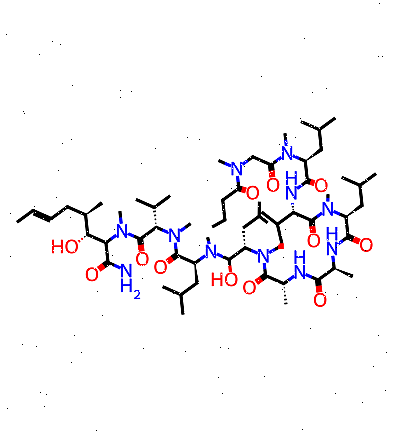 C/C=C/C[C@@H](C)[C@@H](O)C(C(N)=O)N(C)C(=O)[C@H](C(C)C)N(C)C(=O)[C@H](CC(C)C)N(C)C(O)[C@H](CC(C)C)N(C)C(=O)[C@@H](C)NC(=O)[C@H](C)NC(=O)[C@H](CC(C)C)N(C)C(=O)[C@@H](NC(=O)[C@H](CC(C)C)N(C)C(=O)CN(C)C(=O)CCC)C(C)C